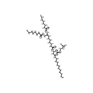 CCCCCCCCCCCCC(CCOC(=O)CCCCCCC(COC(=O)CCCCCCC)COC(=O)CCCCCCC)OC(=O)OCCN(C)C